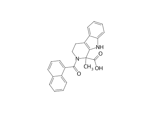 CC1(C(=O)O)c2[nH]c3ccccc3c2CCN1C(=O)c1cccc2ccccc12